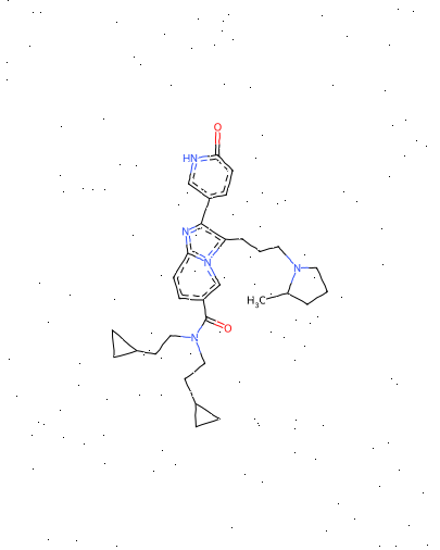 CC1CCCN1CCCc1c(-c2ccc(=O)[nH]c2)nc2ccc(C(=O)N(CCC3CC3)CCC3CC3)cn12